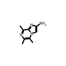 Cc1nc(C)c2nc(N)cn2c1C